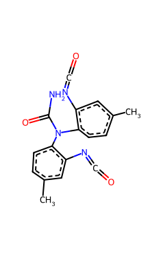 Cc1ccc(N(C(N)=O)c2ccc(C)cc2N=C=O)c(N=C=O)c1